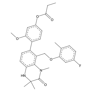 CCC(=O)Oc1ccc(-c2ccc3c(c2COc2cc(F)ccc2C)N(C)C(=O)C(C)(C)N3)c(OC)c1